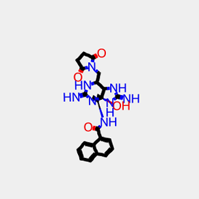 N=C1NC2C(CN3C(=O)CCC3=O)NC(=N)N3C[C@H](NC(=O)c4cccc5ccccc45)[C@@H](O)[C@]23N1